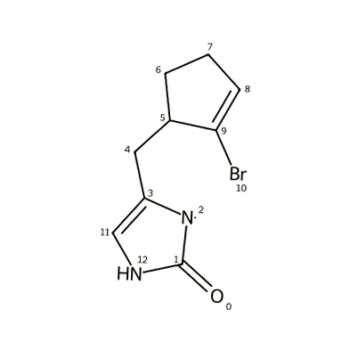 O=C1[N]C(CC2CCC=C2Br)=CN1